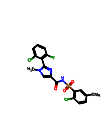 COc1ccc(Cl)c(S(=O)(=O)NC(=O)c2cn(C)c(-c3c(F)cccc3Cl)n2)c1